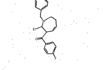 CCC1C(C(=O)c2ccc(F)cc2)C=CCCN1Cc1ccccc1